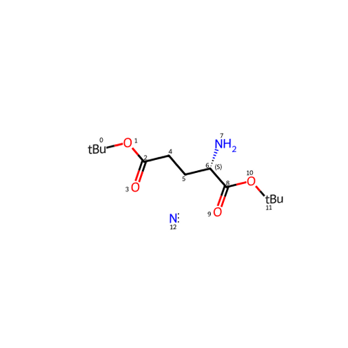 CC(C)(C)OC(=O)CC[C@H](N)C(=O)OC(C)(C)C.[N]